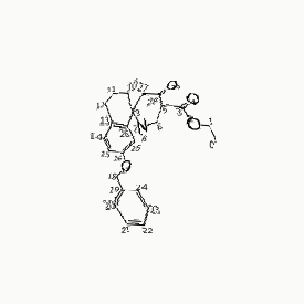 CCOC(=O)C1CN(C)C2(CCCc3ccc(OCc4ccccc4)cc32)CC1=O